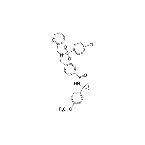 O=C(NC1(c2ccc(OC(F)(F)F)cc2)CC1)c1ccc(CN(Cc2ccccn2)S(=O)(=O)c2ccc(Cl)cc2)cc1